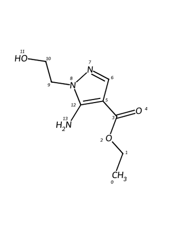 CCOC(=O)c1cnn(CCO)c1N